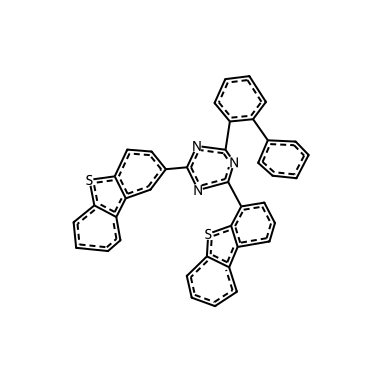 c1ccc(-c2ccccc2-c2nc(-c3ccc4sc5ccccc5c4c3)nc(-c3cccc4c3sc3ccccc34)n2)cc1